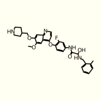 COc1cc2c(Oc3ccc(NC(=O)C(O)NCc4ccccc4C)cc3F)ccnc2cc1OCC1CCNCC1